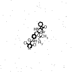 CC(C)OC(=O)[C@H](Cc1ccc(NC(=O)c2c(Cl)cncc2Cl)cc1)NC1=C(Br)C(=O)C12CCCCC2